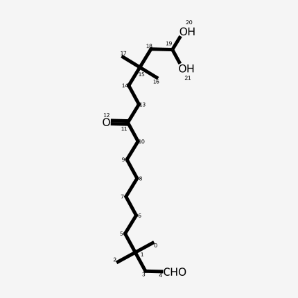 CC(C)(CC=O)CCCCCCC(=O)CCC(C)(C)CC(O)O